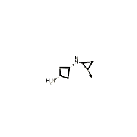 C[C@@H]1C[C@H]1N[C@H]1C[C@@H](N)C1